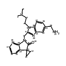 CC(C)CCn1c(CN2C(=O)C3(CC3)c3cccnc32)nc2cc(CN)ccc21